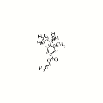 CCOC(=O)c1ccc([C@@H](NCl)[C@@H](C)O)c(C)c1